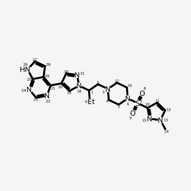 CCC(CN1CCN(S(=O)(=O)c2ccn(C)n2)CC1)n1cc(-c2ncnc3[nH]ccc23)cn1